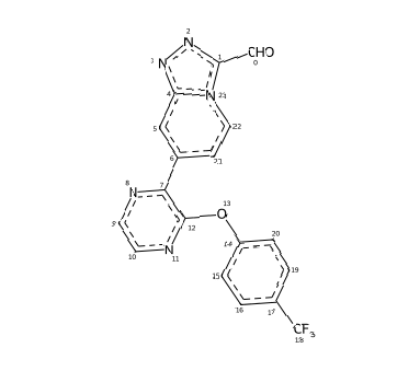 O=Cc1nnc2cc(-c3nccnc3Oc3ccc(C(F)(F)F)cc3)ccn12